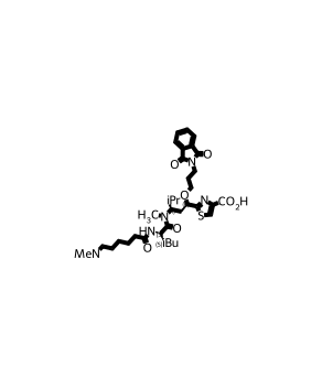 CC[C@H](C)[C@H](NC(=O)CCCCCNC)C(=O)N(C)[C@H](C[C@@H](OCCCN1C(=O)c2ccccc2C1=O)c1nc(C(=O)O)cs1)C(C)C